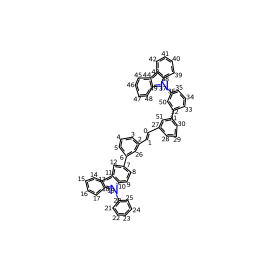 C(=C\c1cccc(-c2ccc3c(c2)c2ccccc2n3-c2ccccc2)c1)/c1cccc(-c2cccc(-n3c4ccccc4c4ccccc43)c2)c1